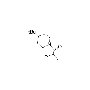 CC(F)C(=O)N1CCC(C(C)(C)C)CC1